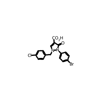 O=C(O)c1cn(Cc2ccc(Cl)cc2)n(-c2ccc(Br)cc2)c1=O